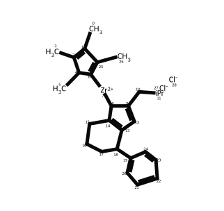 CC1=C(C)C(C)[C]([Zr+2][CH]2C(CC(C)C)=CC3=C2CCCC3c2ccccc2)=C1C.[Cl-].[Cl-]